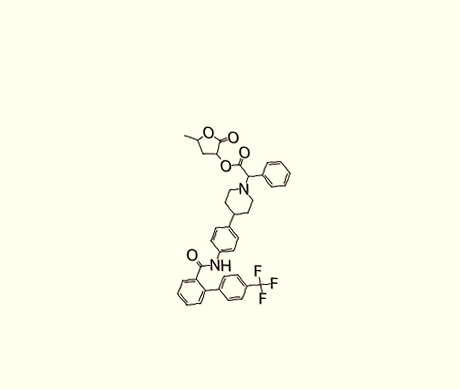 CC1CC(OC(=O)C(c2ccccc2)N2CCC(c3ccc(NC(=O)c4ccccc4-c4ccc(C(F)(F)F)cc4)cc3)CC2)C(=O)O1